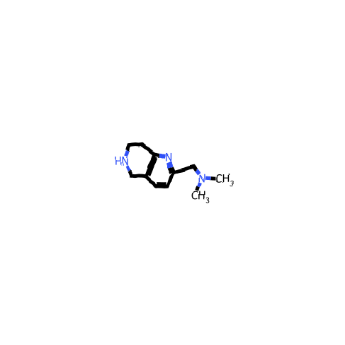 CN(C)Cc1ccc2c(n1)CCNC2